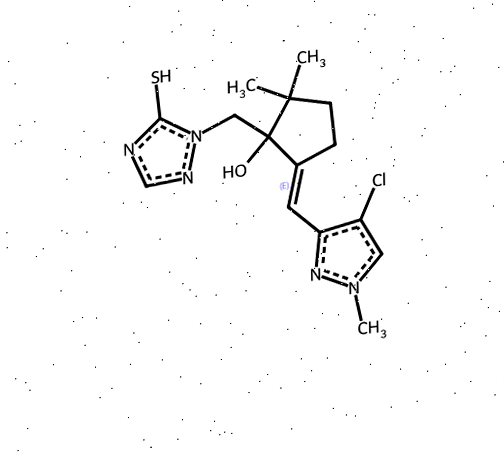 Cn1cc(Cl)c(/C=C2\CCC(C)(C)C2(O)Cn2ncnc2S)n1